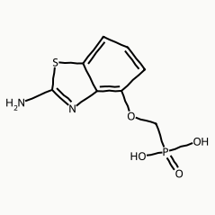 Nc1nc2c(OCP(=O)(O)O)cccc2s1